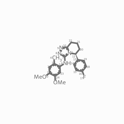 COc1cc(C)c(Nc2nnc3n2[C@H](c2ccc(F)cc2)CCC3)cc1OC